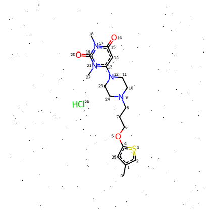 Cc1csc(OCCCN2CCN(c3cc(=O)n(C)c(=O)n3C)CC2)c1.Cl